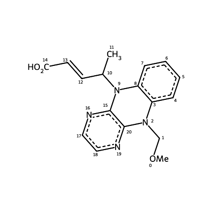 COCN1c2ccccc2N(C(C)C=CC(=O)O)c2nccnc21